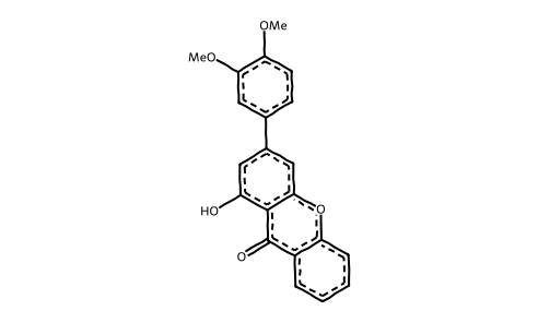 COc1ccc(-c2cc(O)c3c(=O)c4ccccc4oc3c2)cc1OC